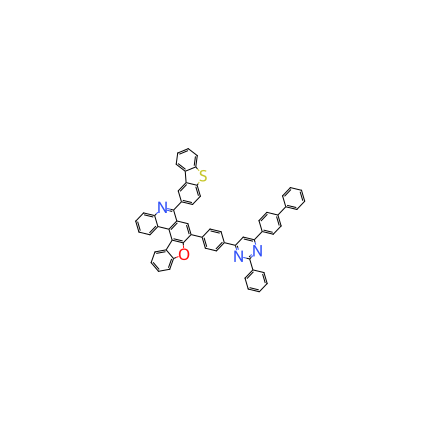 c1ccc(-c2ccc(-c3cc(-c4ccc(-c5cc6c(-c7ccc8sc9ccccc9c8c7)nc7ccccc7c6c6c5oc5ccccc56)cc4)nc(-c4ccccc4)n3)cc2)cc1